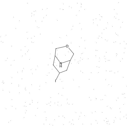 IC1CC2COCC(C1)N2